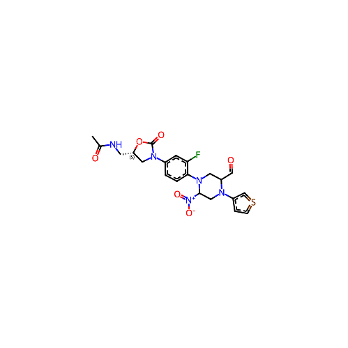 CC(=O)NC[C@H]1CN(c2ccc(N3CC(C=O)N(c4ccsc4)CC3[N+](=O)[O-])c(F)c2)C(=O)O1